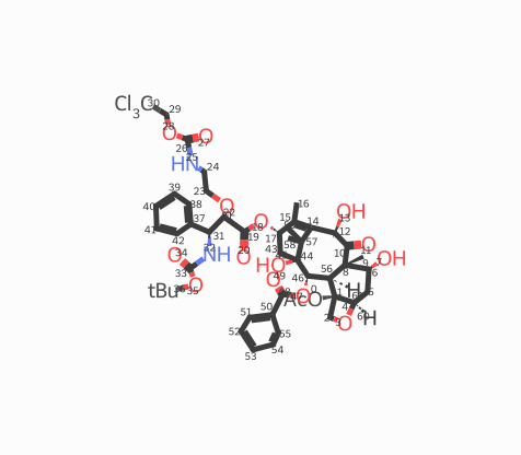 CC(=O)O[C@]12CO[C@@H]1C[C@H](O)[C@@]1(C)C(=O)[C@H](O)C3=C(C)[C@@H](OC(=O)[C@H](OCCNC(=O)OCC(Cl)(Cl)Cl)[C@@H](NC(=O)OC(C)(C)C)c4ccccc4)C[C@@](O)([C@@H](OC(=O)c4ccccc4)[C@H]21)C3(C)C